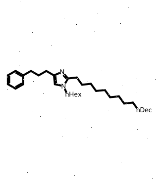 CCCCCCCCCCCCCCCCCCCc1nc(CCCc2ccccc2)cn1CCCCCC